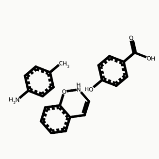 C1=Cc2ccccc2ON1.Cc1ccc(N)cc1.O=C(O)c1ccc(O)cc1